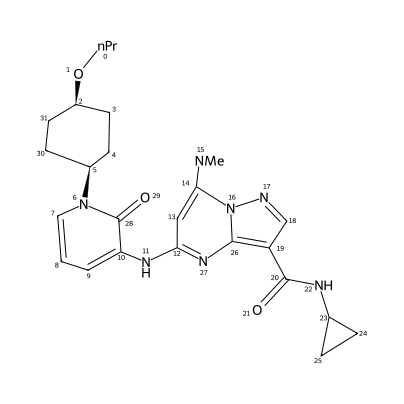 CCCO[C@H]1CC[C@@H](n2cccc(Nc3cc(NC)n4ncc(C(=O)NC5CC5)c4n3)c2=O)CC1